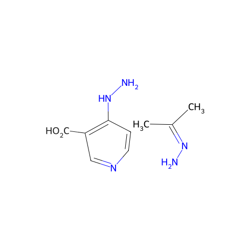 CC(C)=NN.NNc1ccncc1C(=O)O